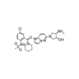 CS(=O)(=O)Nc1ccc(Cl)cc1C(=O)N1CCCC[C@H]1c1cn2nc(N3C[C@@H](N)[C@@H](O)C3)ccc2n1